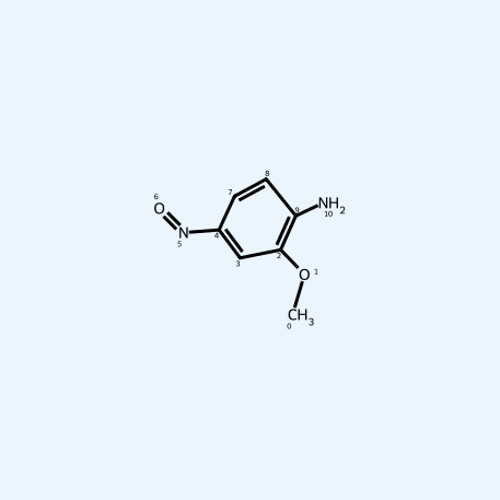 COc1cc(N=O)ccc1N